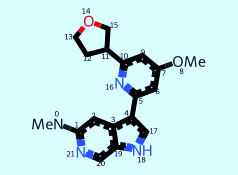 CNc1cc2c(-c3cc(OC)cc(C4CCOC4)n3)c[nH]c2cn1